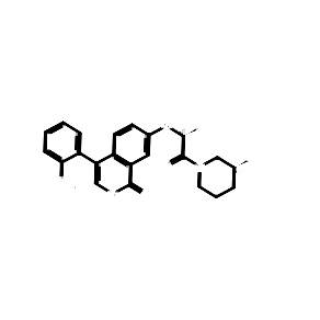 Cc1ccccc1-c1c[nH]c(=O)c2cc(N[C@@H](C)C(=O)N3CCC[C@H](C(=O)O)C3)ccc12